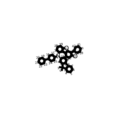 CC1(C)c2ccccc2-c2ccc(N(c3ccc(-c4ccccc4)cc3)c3cccc4oc5c(ccc6oc7ccccc7c65)c34)cc21